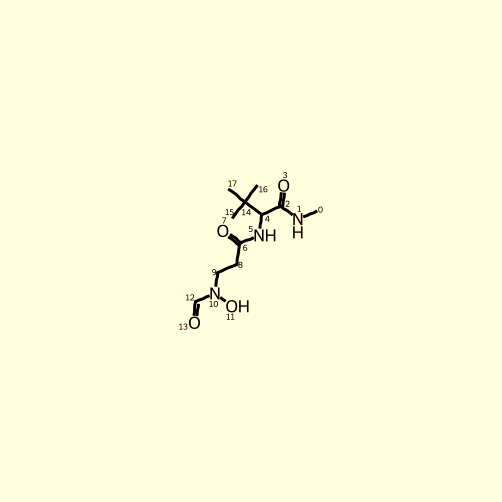 CNC(=O)C(NC(=O)CCN(O)C=O)C(C)(C)C